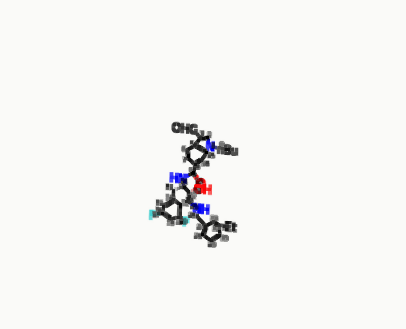 CCCCn1cc(C=O)c2ccc(C(=O)N[C@@H](Cc3cc(F)cc(F)c3)[C@H](O)CNCc3cccc(CC)c3)cc21